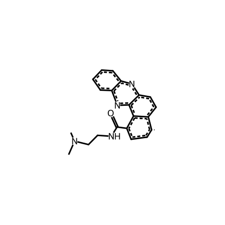 CN(C)CCNC(=O)c1cc[c]c2ccc3nc4ccccc4nc3c12